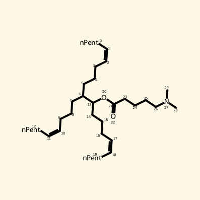 CCCCC/C=C\CCCC(CCC/C=C\CCCCC)C(CCC/C=C\CCCCC)OC(=O)CCCCN(C)C